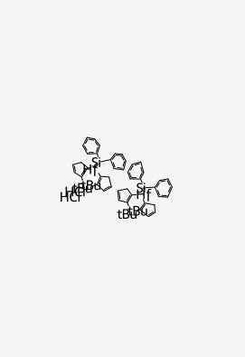 CC(C)(C)C1=[C]([Hf]([C]2=C(C(C)(C)C)C=CC2)=[Si](c2ccccc2)c2ccccc2)CC=C1.CC(C)(C)C1=[C]([Hf]([C]2=C(C(C)(C)C)C=CC2)=[Si](c2ccccc2)c2ccccc2)CC=C1.Cl.Cl